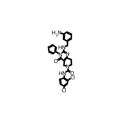 Nc1cccc(CNc2nc3c(c(=O)n2-c2ccccc2)CN(C(=O)Nc2ccc(Cl)cc2Cl)CC3)c1